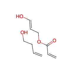 C=CC(=O)OCC=CO.C=CCCO